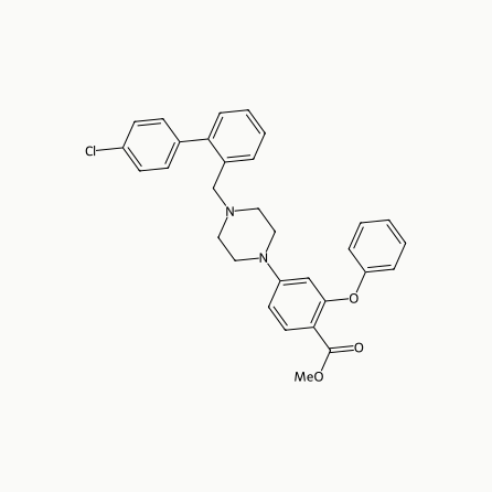 COC(=O)c1ccc(N2CCN(Cc3ccccc3-c3ccc(Cl)cc3)CC2)cc1Oc1ccccc1